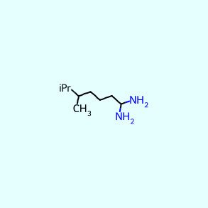 CC(C)C(C)CCCC(N)N